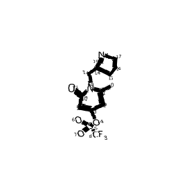 Cc1cc(OS(=O)(=O)C(F)(F)F)cc(=O)n1Cc1cccnc1